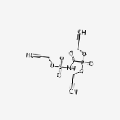 C#CCOP(=O)(OCC#C)C(=O)NS(=O)(=O)OCC#C